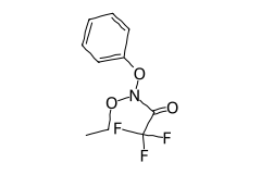 CCON(Oc1ccccc1)C(=O)C(F)(F)F